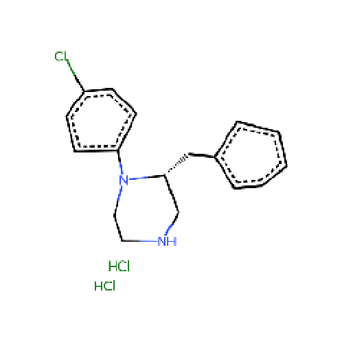 Cl.Cl.Clc1ccc(N2CCNC[C@H]2Cc2ccccc2)cc1